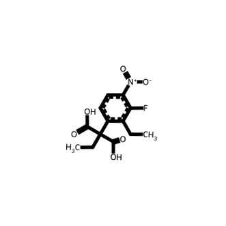 CCc1c(C(CC)(C(=O)O)C(=O)O)ccc([N+](=O)[O-])c1F